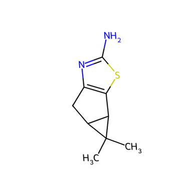 CC1(C)C2Cc3nc(N)sc3C21